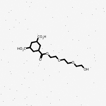 O=C(O)C1CC(C(=O)O)CC(C(=O)OCCOCCOCCO)C1